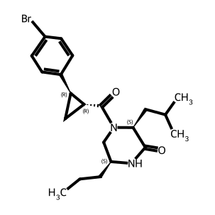 CCC[C@H]1CN(C(=O)[C@@H]2C[C@H]2c2ccc(Br)cc2)[C@@H](CC(C)C)C(=O)N1